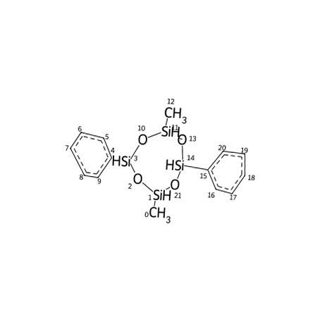 C[SiH]1O[SiH](c2ccccc2)O[SiH](C)O[SiH](c2ccccc2)O1